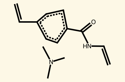 C=CNC(=O)c1ccc(C=C)cc1.CN(C)C